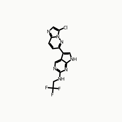 FC(F)(F)CNc1ncc2c(-c3ccc4ncc(Cl)n4n3)c[nH]c2n1